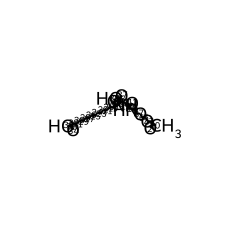 CC(=O)COCCOCCNC(=O)CCC(NC(=O)CCCCCCCCCCCCCCC(=O)O)C(=O)O